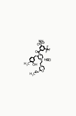 COC[C@@H]1CN(CCN2CCN(C(=O)c3cc(C(F)(F)F)cc(S(N)(=O)=O)c3)[C@H](Cc3ccc(C)c(O)c3)C2)CCO1.Cl.Cl